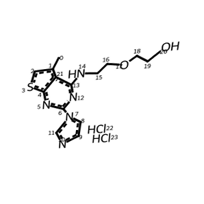 Cc1csc2nc(-n3ccnc3)nc(NCCOCCO)c12.Cl.Cl